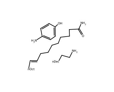 CCCCCCCCC=CCCCCCCCC(N)=O.CCCCCCCCCCCCN.Nc1ccc(O)cc1